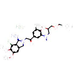 Br.CCOc1cc2c(c(F)c1OCC)C(=N)N(CC(=O)c1cc3c(c(C(C)(C)C)c1)OC(COCC(=O)O)CN3C)C2